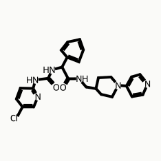 O=C(Nc1ccc(Cl)cn1)NC(C(=O)NCC1CCN(c2ccncc2)CC1)c1ccccc1